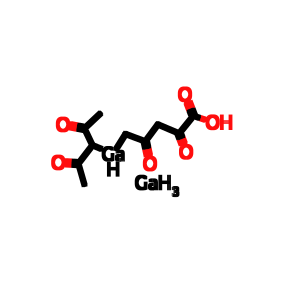 CC(=O)[CH]([GaH][CH2]C(=O)CC(=O)C(=O)O)C(C)=O.[GaH3]